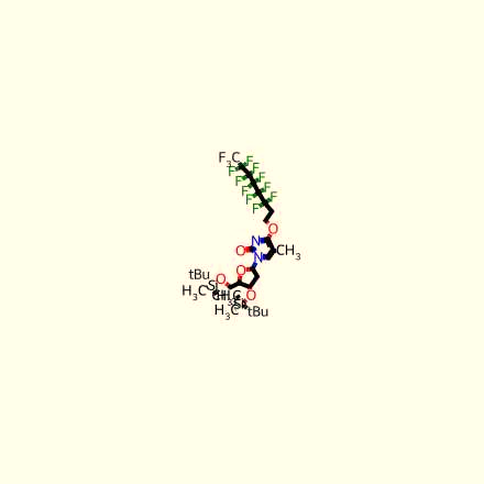 Cc1cn(C2CC(O[Si](C)(C)C(C)(C)C)C(CO[Si](C)(C)C(C)(C)C)O2)c(=O)nc1OCCC(F)(F)C(F)(F)C(F)(F)C(F)(F)C(F)(F)C(F)(F)F